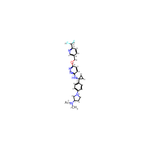 CC(=O)N(C)C1CCN(c2ccc(C3(Nc4ccc(OCc5ccc(C(F)F)nc5)nn4)CC3)cc2)C1